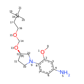 COc1cc(N)ccc1N1CC[C@@H](OCOCC[Si](C)(C)C)C1